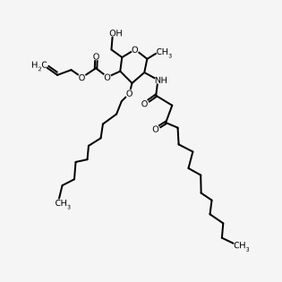 C=CCOC(=O)OC1C(CO)OC(C)C(NC(=O)CC(=O)CCCCCCCCCCC)C1OCCCCCCCCCC